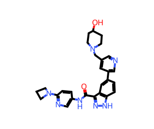 O=C(Nc1ccc(N2CCC2)nc1)c1n[nH]c2ccc(-c3cncc(CN4CCC(O)CC4)c3)cc12